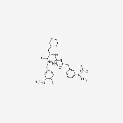 COc1cc(CNC(=O)[C@@H](CC2CCCCC2)NC(N)=NC(=O)Cc2cccc(N(C)[SH](=O)=O)c2)ccc1F